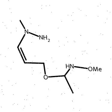 CONC(C)OC/C=C\N(C)N